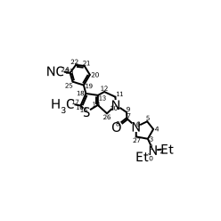 CCN(CC)C1CCN(C(=O)CN2CCc3c(sc(C)c3-c3cccc(C#N)c3)C2)C1